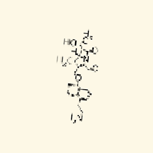 C[C@@H](O)[C@H]1C(=O)N2C(C=O)=C(COc3cccc4c(CCN)cccc34)[C@H](C)[C@H]12